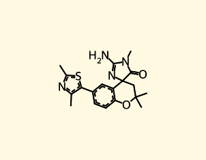 Cc1nc(C)c(-c2ccc3c(c2)C2(CC(C)(C)O3)N=C(N)N(C)C2=O)s1